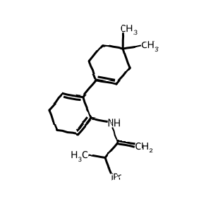 C=C(NC1=CCCC=C1C1=CCC(C)(C)CC1)C(C)C(C)C